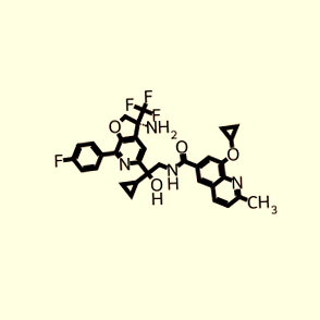 Cc1ccc2cc(C(=O)NCC(O)(c3cc4c(c(-c5ccc(F)cc5)n3)OC[C@@]4(N)C(F)(F)F)C3CC3)cc(OC3CC3)c2n1